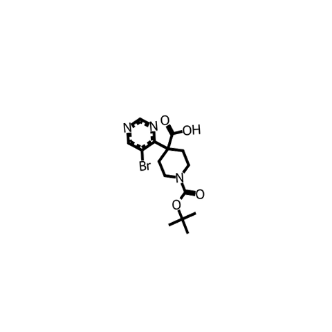 CC(C)(C)OC(=O)N1CCC(C(=O)O)(c2ncncc2Br)CC1